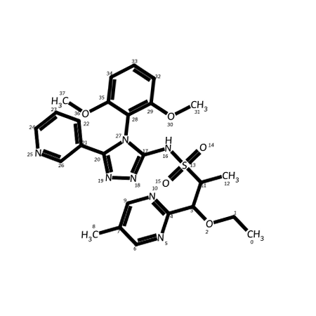 CCOC(c1ncc(C)cn1)C(C)S(=O)(=O)Nc1nnc(-c2cccnc2)n1-c1c(OC)cccc1OC